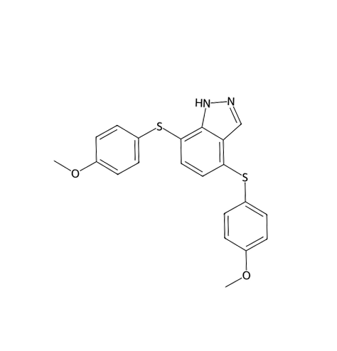 COc1ccc(Sc2ccc(Sc3ccc(OC)cc3)c3[nH]ncc23)cc1